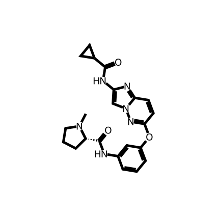 CN1CCC[C@H]1C(=O)Nc1cccc(Oc2ccc3nc(NC(=O)C4CC4)cn3n2)c1